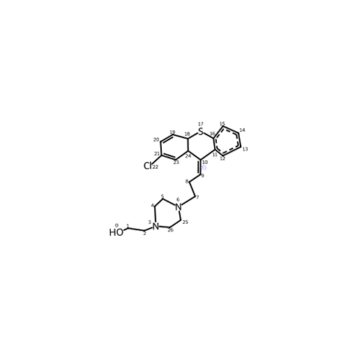 OCCN1CCN(CC/C=C2/c3ccccc3SC3C=CC(Cl)=CC23)CC1